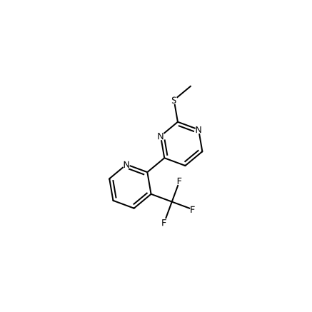 CSc1nccc(-c2ncccc2C(F)(F)F)n1